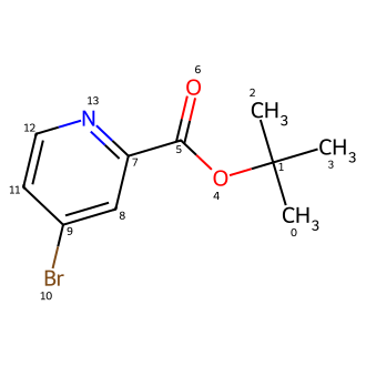 CC(C)(C)OC(=O)c1cc(Br)ccn1